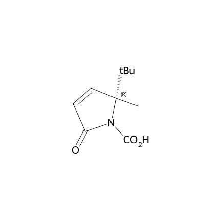 CC(C)(C)[C@@]1(C)C=CC(=O)N1C(=O)O